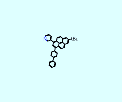 CC(C)(C)c1cc2ccc3c(-c4ccc(-c5ccccc5)cc4)cc(-c4cccnc4)c4ccc(c1)c2c34